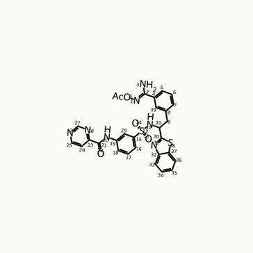 CC(=O)ON=C(N)c1cccc(CC(NS(=O)(=O)c2cccc(NC(=O)c3ccncn3)c2)c2nc3ccccc3s2)c1